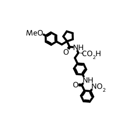 COc1ccc(CC2(C(=O)N[C@@H](Cc3ccc(NC(=O)c4ccccc4[N+](=O)[O-])cc3)C(=O)O)CCCC2)cc1